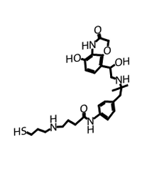 CC(C)(Cc1ccc(NC(=O)CCCNCCCS)cc1)NCC(O)c1ccc(O)c2c1OCC(=O)N2